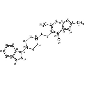 Cc1cc2cc(C)n(CCN3CCN(c4nsc5ccccc45)CC3)c(=O)n2n1